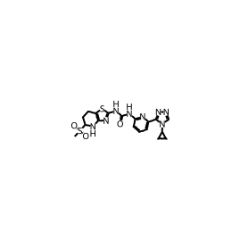 CS(=O)(=O)C1CCc2sc(NC(=O)Nc3cccc(-c4nncn4C4CC4)n3)nc2N1